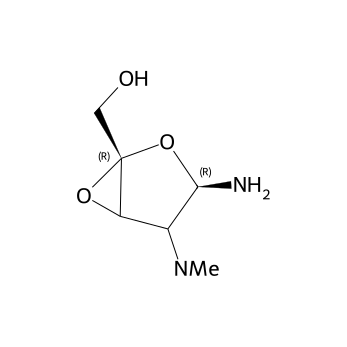 CNC1C2O[C@]2(CO)O[C@H]1N